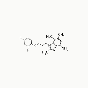 Cc1nc(N)c2nc(C)n(CCCSc3ccc(F)cc3F)c2c1C